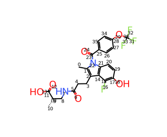 Cc1c(CCC(=O)NC[C@H](C)C(=O)O)c2c(F)c(O)ccc2n1C(=O)c1ccc(OC(F)(F)F)cc1